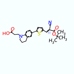 CC(C)(C)OC(=O)/C(C#N)=C/c1ccc(-c2ccc3c(c2)CCCN3CCC(=O)O)s1